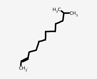 [CH2]/C=C/CCCCCCCCC(C)C